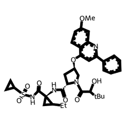 CCC1C[C@]1(NC(=O)[C@@H]1C[C@@H](Oc2cc(-c3ccccc3)nc3cc(OC)ccc23)CN1C(=O)C(O)C(C)(C)C)C(=O)NS(=O)(=O)C1CC1